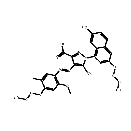 COc1cc(SOOO)c(C)cc1/N=N/c1c(C(=O)O)nn(-c2cc(SOOO)cc3ccc(O)cc23)c1O